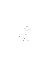 CC[Si](OC(C)=O)(OC(C)=O)OC(C)=O.COc1ccccc1